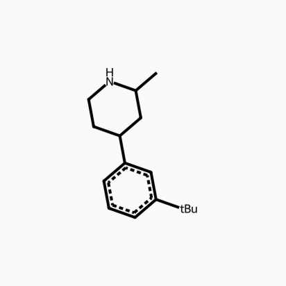 CC1CC(c2cccc(C(C)(C)C)c2)CCN1